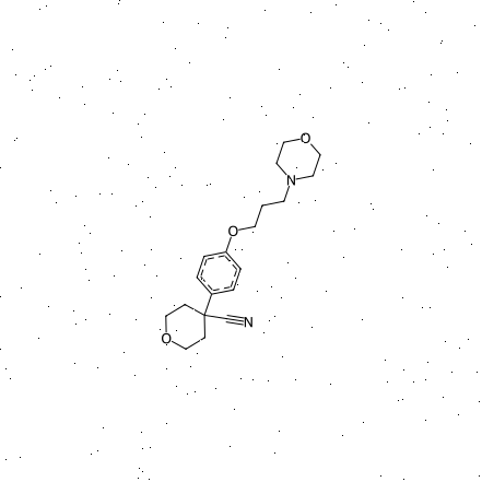 N#CC1(c2ccc(OCCCN3CCOCC3)cc2)CCOCC1